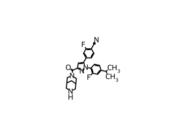 CC(C)c1ccc(-n2nc(C(=O)N3CC4CNCC(C4)C3)cc2-c2ccc(C#N)c(F)c2)c(F)c1